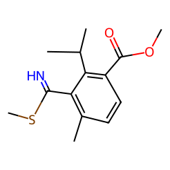 COC(=O)c1ccc(C)c(C(=N)SC)c1C(C)C